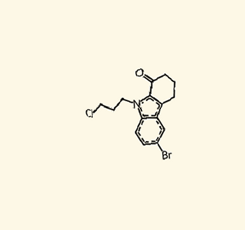 O=C1CCCc2c1n(CCCCl)c1ccc(Br)cc21